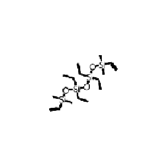 C=C[Si](C)(C)O[Si](CC)(CC)O[Si](CC)(CC)O[Si](C)(C)C=C